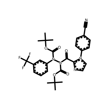 CC(C)(C)OC(=O)N(C(=O)c1nccn1-c1ccc(C#N)cc1)N(C(=O)OC(C)(C)C)c1cccc(C(F)(F)F)c1